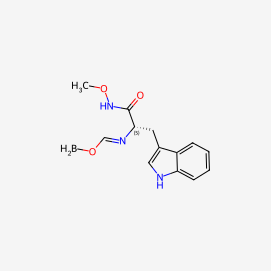 BOC=N[C@@H](Cc1c[nH]c2ccccc12)C(=O)NOC